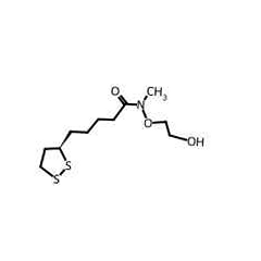 CN(OCCO)C(=O)CCCC[C@@H]1CCSS1